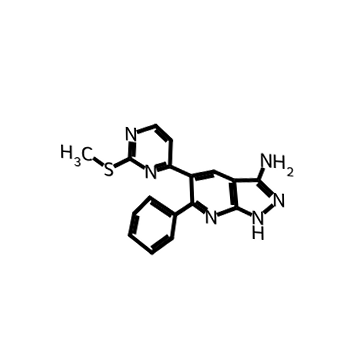 CSc1nccc(-c2cc3c(N)n[nH]c3nc2-c2ccccc2)n1